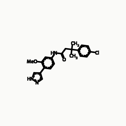 COc1cc(NC(=O)CC(C)(C)c2ccc(Cl)cc2)ccc1-c1cn[nH]c1